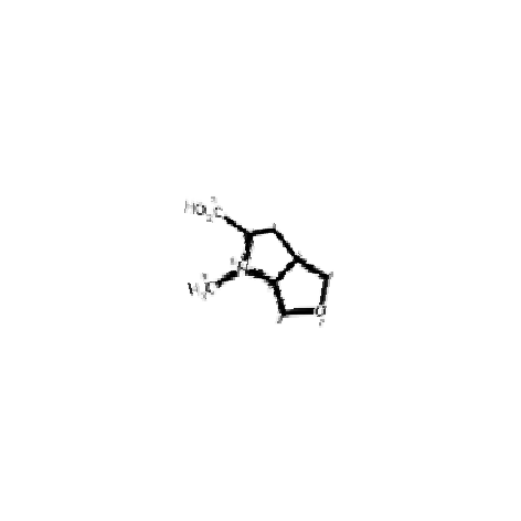 CN1C(C(=O)O)CC2COCC21